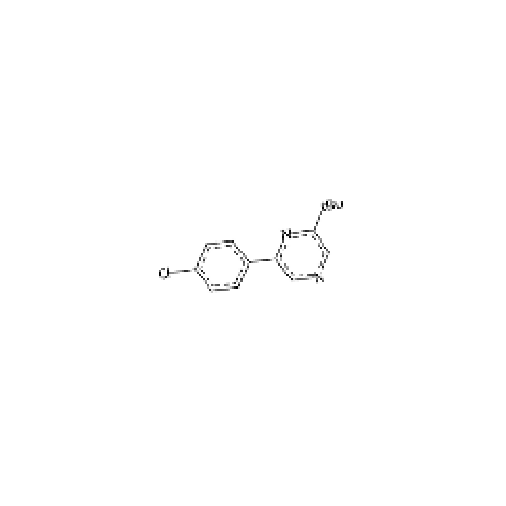 CC(C)(C)c1cncc(-c2ccc(Cl)cc2)n1